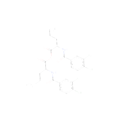 O=C(O)CCC(NC(=O)c1ccc(Cl)c(Cl)c1)C(=O)OC(=O)C(CCC(=O)O)NC(=O)c1ccc(Cl)c(Cl)c1